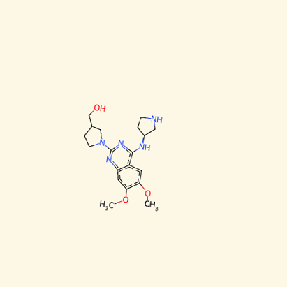 COc1cc2nc(N3CCC(CO)C3)nc(N[C@H]3CCNC3)c2cc1OC